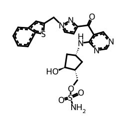 NS(=O)(=O)OC[C@H]1C[C@@H](Nc2ncncc2C(=O)c2ccn(Cc3cc4ccccc4s3)n2)C[C@@H]1O